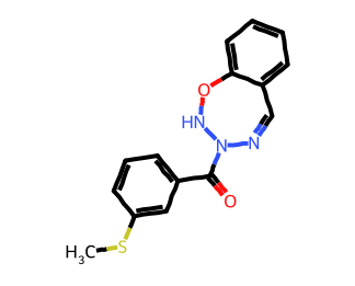 CSc1cccc(C(=O)n2ncc3ccccc3o[nH]2)c1